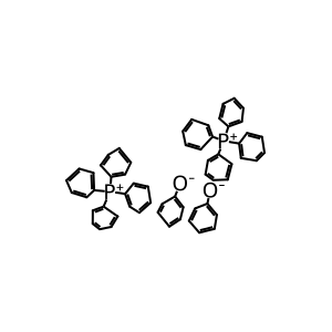 [O-]c1ccccc1.[O-]c1ccccc1.c1ccc([P+](c2ccccc2)(c2ccccc2)c2ccccc2)cc1.c1ccc([P+](c2ccccc2)(c2ccccc2)c2ccccc2)cc1